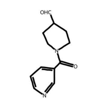 O=CC1CCN(C(=O)c2cccnc2)CC1